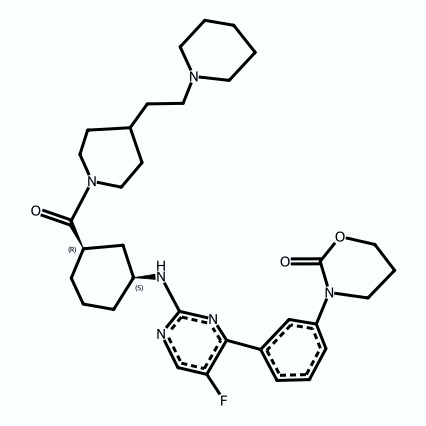 O=C([C@@H]1CCC[C@H](Nc2ncc(F)c(-c3cccc(N4CCCOC4=O)c3)n2)C1)N1CCC(CCN2CCCCC2)CC1